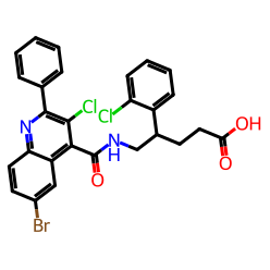 O=C(O)CCC(CNC(=O)c1c(Cl)c(-c2ccccc2)nc2ccc(Br)cc12)c1ccccc1Cl